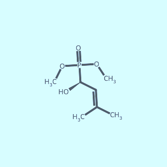 COP(=O)(OC)[C@H](O)C=C(C)C